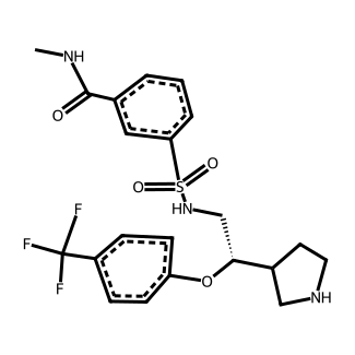 CNC(=O)c1cccc(S(=O)(=O)NC[C@@H](Oc2ccc(C(F)(F)F)cc2)C2CCNC2)c1